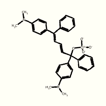 CN(C)c1ccc(C(=CC=CC(O[Cl+3]([O-])([O-])[O-])(c2ccccc2)c2ccc(N(C)C)cc2)c2ccccc2)cc1